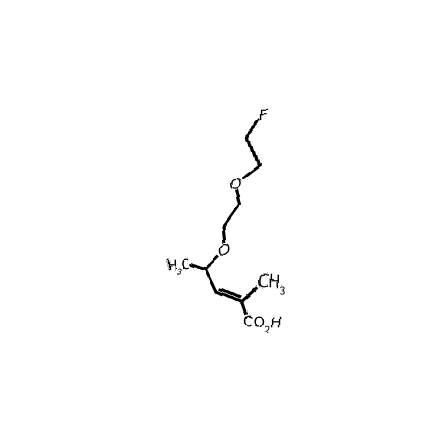 CC(=CC(C)OCCOCCF)C(=O)O